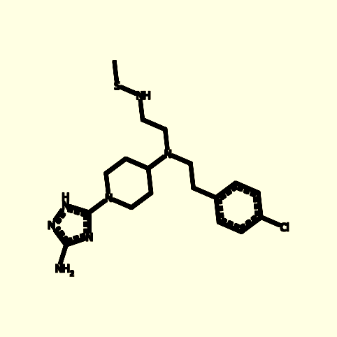 CSNCCN(CCc1ccc(Cl)cc1)C1CCN(c2nc(N)n[nH]2)CC1